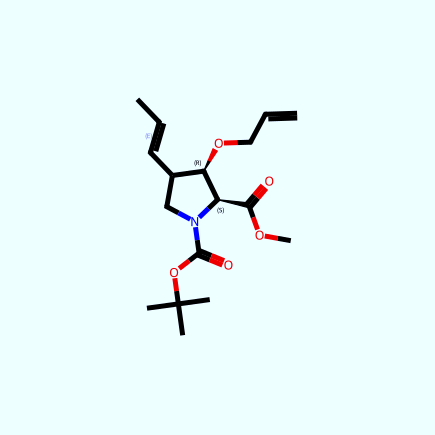 C=CCO[C@@H]1C(/C=C/C)CN(C(=O)OC(C)(C)C)[C@@H]1C(=O)OC